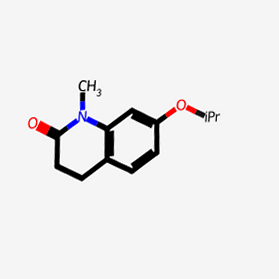 CC(C)Oc1ccc2c(c1)N(C)C(=O)CC2